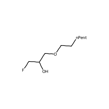 CCCCCCCOCC(O)CF